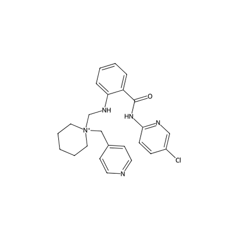 O=C(Nc1ccc(Cl)cn1)c1ccccc1NC[N+]1(Cc2ccncc2)CCCCC1